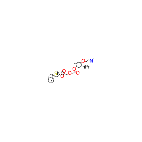 Cc1cc(OCCN(C)C)c(C(C)C)cc1OC(=O)COCC(=O)OCCC1(SN=O)C2CC3CC(C2)CC1C3